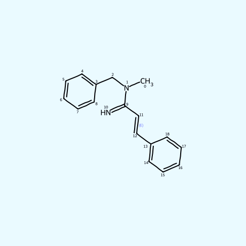 CN(Cc1ccccc1)C(=N)/C=C/c1ccccc1